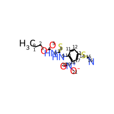 CCCOC(=O)NC(=S)Nc1ccc(SC#N)cc1[N+](=O)[O-]